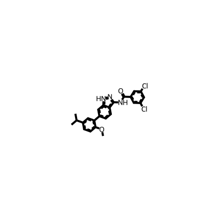 COc1ccc(C(C)C)cc1-c1ccc2c(NC(=O)c3cc(Cl)cc(Cl)c3)n[nH]c2c1